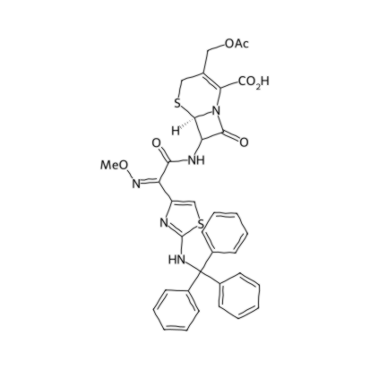 CO/N=C(\C(=O)NC1C(=O)N2C(C(=O)O)=C(COC(C)=O)CS[C@H]12)c1csc(NC(c2ccccc2)(c2ccccc2)c2ccccc2)n1